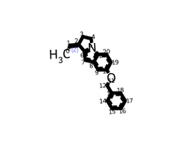 C/C=C1/CCn2c1cc1cc(OCc3ccccc3)ccc12